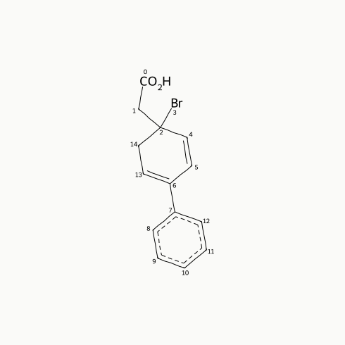 O=C(O)CC1(Br)C=CC(c2ccccc2)=CC1